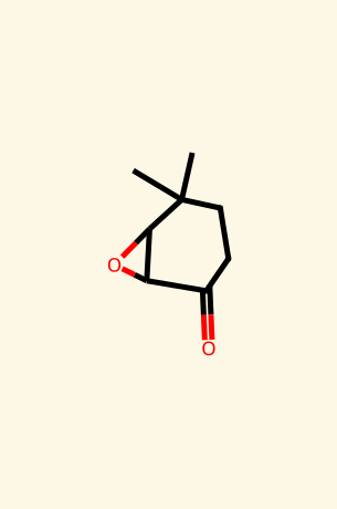 CC1(C)CCC(=O)C2OC21